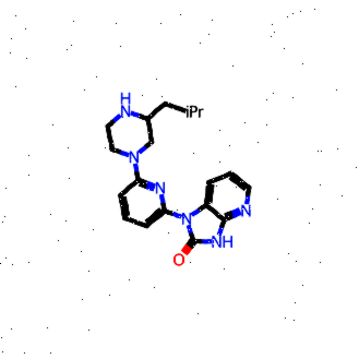 CC(C)CC1CN(c2cccc(-n3c(=O)[nH]c4ncccc43)n2)CCN1